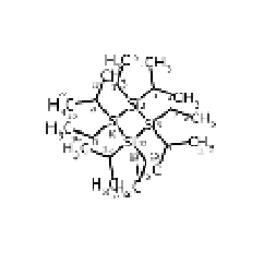 CC[Si]1(C(C)C)[Si](CC)(C(C)C)[Si](CC)(C(C)C)[Si]1(CC)C(C)C